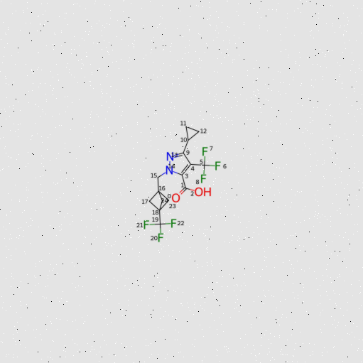 O=C(O)c1c(C(F)(F)F)c(C2CC2)nn1CC12CC(C(F)(F)F)(C1)C2